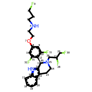 FCCCNCCOc1cc(F)c([C@@H]2c3[nH]c4ccccc4c3CCN2CC(F)CF)c(F)c1